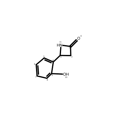 O=C1CC(c2ccccc2O)N1